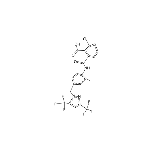 Cc1cc(Cn2nc(C(F)(F)F)cc2C(F)(F)F)ccc1NC(=O)c1cccc(Cl)c1C(=O)O